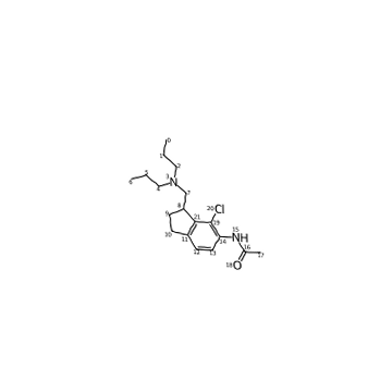 CCCN(CCC)CC1CCc2ccc(NC(C)=O)c(Cl)c21